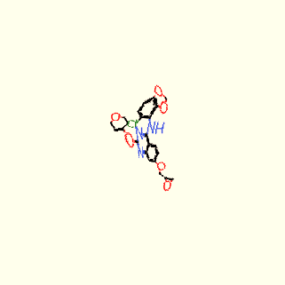 Clc1ccc2c(c1Nc1nc(OC3CCOCC3)nc3cc(OC[C@H]4CO4)ccc13)OCO2